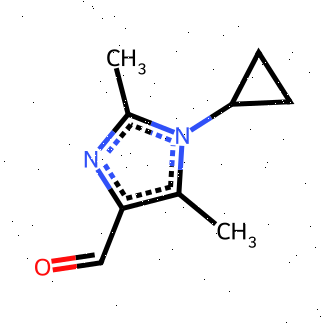 Cc1nc(C=O)c(C)n1C1CC1